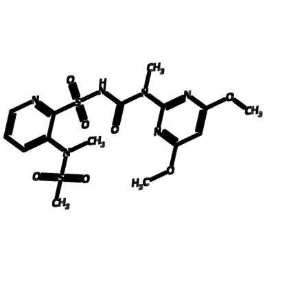 COc1cc(OC)nc(N(C)C(=O)NS(=O)(=O)c2ncccc2N(C)S(C)(=O)=O)n1